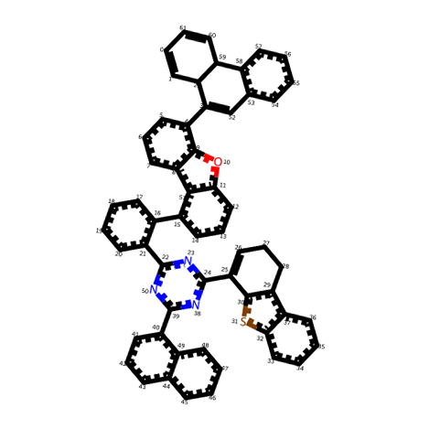 C1=CC2C(c3cccc4c3oc3cccc(-c5ccccc5-c5nc(C6=CCCc7c6sc6ccccc76)nc(-c6cccc7ccccc67)n5)c34)=Cc3ccccc3C2C=C1